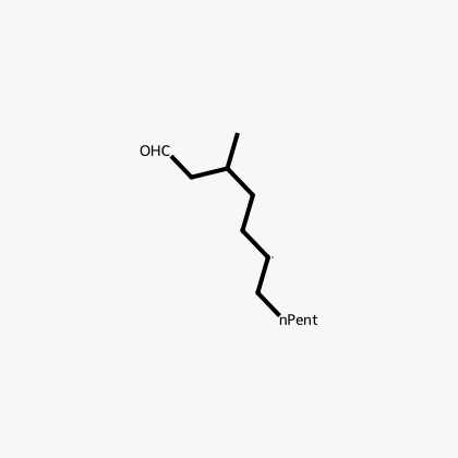 CCCCCC[CH]CCC(C)CC=O